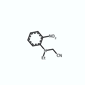 CCN(CC#N)c1ccccc1[N+](=O)[O-]